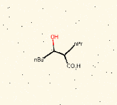 CCCCC(O)C(CCC)C(=O)O